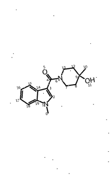 Cn1cc(C(=O)N2CCC(C)(O)CC2)c2ccccc21